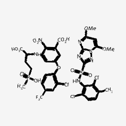 COc1cc(OC)n2nc(S(=O)(=O)Nc3c(Cl)ccc(C)c3Cl)nc2n1.CP(=O)(O)CCC(N)C(=O)O.O=C(O)c1cc(Oc2ccc(C(F)(F)F)cc2Cl)ccc1[N+](=O)[O-]